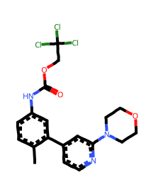 Cc1ccc(NC(=O)OCC(Cl)(Cl)Cl)cc1-c1ccnc(N2CCOCC2)c1